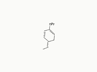 CC=C1C=CC(CCC)=CC1